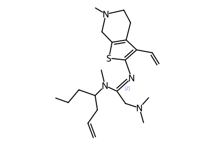 C=CCC(CCC)N(C)/C(CN(C)C)=N\c1sc2c(c1C=C)CCN(C)C2